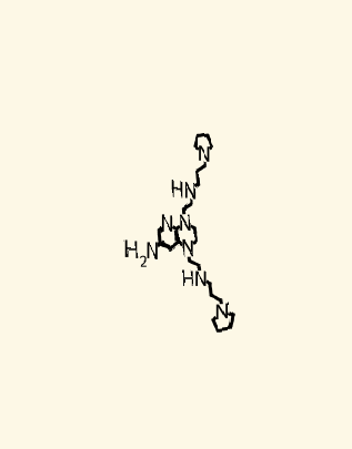 Nc1cnc2c(c1)N(CCNCCCN1CCCC1)CCN2CCNCCCN1CCCC1